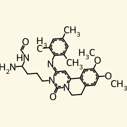 COc1cc2c(cc1OC)-c1cc(=Nc3c(C)cc(C)cc3C)n(CCCC(N)NC=O)c(=O)n1CC2